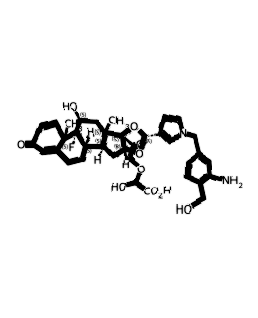 C[C@]12C=CC(=O)C=C1CC[C@H]1[C@@H]3C[C@H]4O[C@@H](c5ccn(Cc6ccc(CO)c(N)c6)c5)O[C@@]4(C(=O)COC(O)C(=O)O)[C@@]3(C)C[C@H](O)[C@@]12F